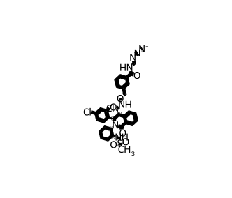 CS(=O)(=O)N[C@H]1CCCC[C@@H]1N1C(=O)c2ccccc2[C@@H](C(=O)NOCc2cccc(C(=O)NCN=[N+]=[N-])c2)[C@@H]1c1ccc(Cl)cc1Cl